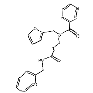 O=C(CCN(Cc1ccco1)C(=O)c1cnccn1)NCc1ccccn1